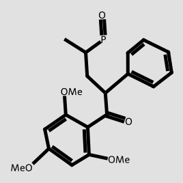 COc1cc(OC)c(C(=O)C(CC(C)P=O)c2ccccc2)c(OC)c1